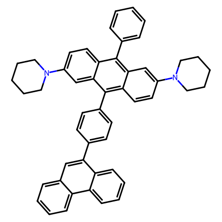 c1ccc(-c2c3ccc(N4CCCCC4)cc3c(-c3ccc(-c4cc5ccccc5c5ccccc45)cc3)c3ccc(N4CCCCC4)cc23)cc1